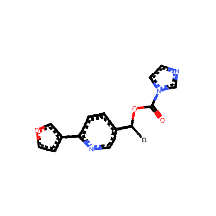 CCC(OC(=O)n1ccnc1)c1ccc(-c2ccoc2)nc1